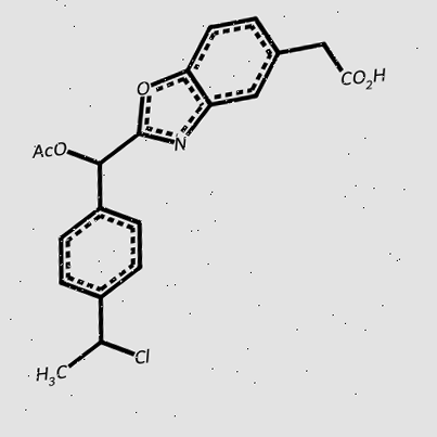 CC(=O)OC(c1ccc(C(C)Cl)cc1)c1nc2cc(CC(=O)O)ccc2o1